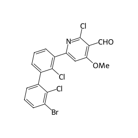 COc1cc(-c2cccc(-c3cccc(Br)c3Cl)c2Cl)nc(Cl)c1C=O